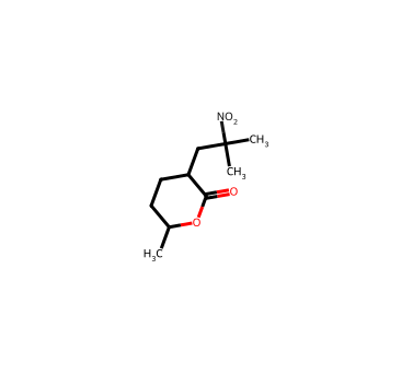 CC1CCC(CC(C)(C)[N+](=O)[O-])C(=O)O1